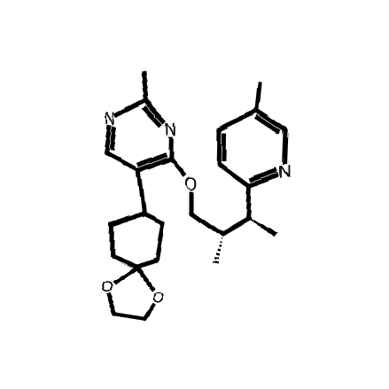 Cc1ccc([C@@H](C)[C@H](C)COc2nc(C)ncc2C2CCC3(CC2)OCCO3)nc1